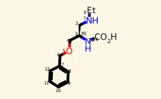 CCNC[C@H](COCc1ccccc1)NC(=O)O